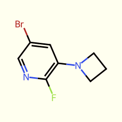 Fc1ncc(Br)cc1N1CCC1